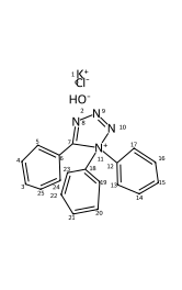 [Cl-].[K+].[OH-].c1ccc(C2=NN=N[N+]2(c2ccccc2)c2ccccc2)cc1